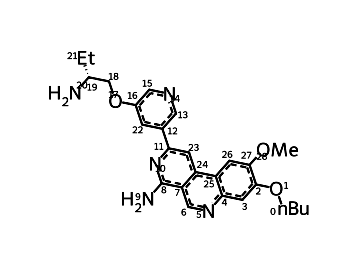 CCCCOc1cc2ncc3c(N)nc(-c4cncc(OC[C@H](N)CC)c4)cc3c2cc1OC